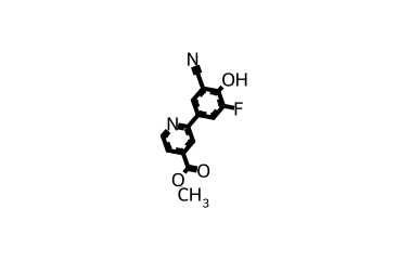 COC(=O)c1ccnc(-c2cc(F)c(O)c(C#N)c2)c1